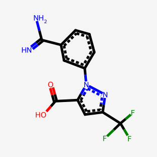 N=C(N)c1cccc(-n2nc(C(F)(F)F)cc2C(=O)O)c1